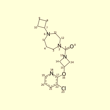 O=C(N1CCCN(C2CCC2)CC1)N1CC(Oc2ncccc2Cl)C1